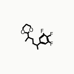 CC(CCC(C)C1OCCCO1)c1cc(F)c(F)c(F)c1